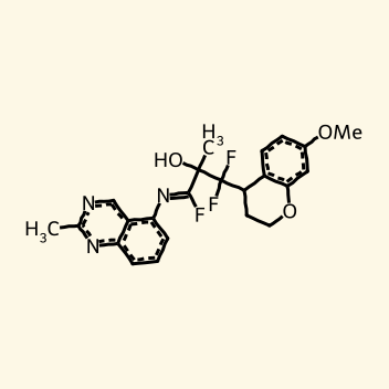 COc1ccc2c(c1)OCCC2C(F)(F)C(C)(O)C(F)=Nc1cccc2nc(C)ncc12